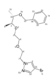 C[C@H](OCCOCCn1cc(Br)cn1)[C@H](C)OCc1ccccc1